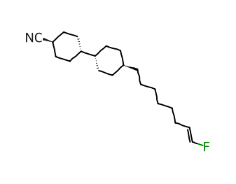 N#C[C@H]1CC[C@H]([C@H]2CC[C@H](CCCCCC/C=C/F)CC2)CC1